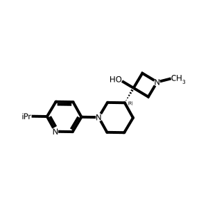 CC(C)c1ccc(N2CCC[C@@H](C3(O)CN(C)C3)C2)cn1